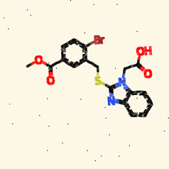 COC(=O)c1ccc(Br)c(CSc2nc3ccccc3n2CC(=O)O)c1